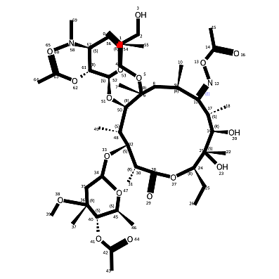 C=C(CO)CO[C@]1(C)C[C@@H](C)/C(=N\OC(C)=O)[C@H](C)[C@@H](O)[C@](C)(O)[C@@H](CC)OC(=O)[C@H](C)[C@@H](OC2C[C@@](C)(OC)[C@@H](OC(C)=O)[C@H](C)O2)[C@H](C)[C@H]1O[C@@H]1O[C@H](C)C[C@H](N(C)C)[C@H]1OC(C)=O